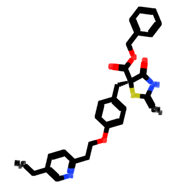 C=C1NC(=O)[C@](Cc2ccc(OCCc3ccc(CC)cn3)cc2)(C(=O)OCc2ccccc2)S1